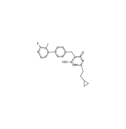 Cc1c(-c2ccc(Cc3c(O)[nH]c(CCC4CC4)nc3=O)cc2)ccnc1F